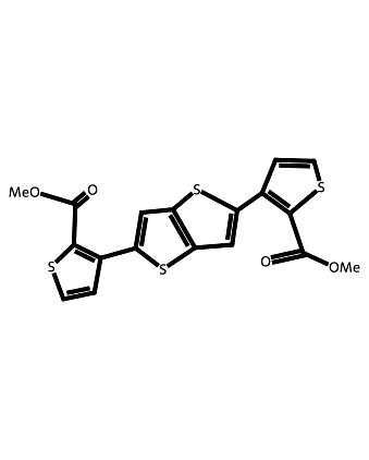 COC(=O)c1sccc1-c1cc2sc(-c3ccsc3C(=O)OC)cc2s1